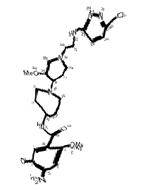 COc1cc(N)c(Cl)cc1C(=O)NC1CCN([C@@H]2CCN(CCNc3ccc(Cl)nn3)C[C@@H]2OC)CC1